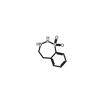 O=S1(=O)NNCCc2ccccc21